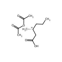 CC(=O)OC(C)=O.CCC[C@@H](C)CC(=O)O